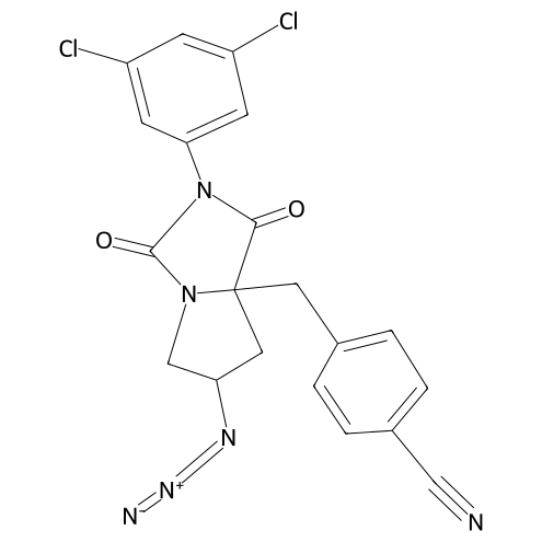 N#Cc1ccc(CC23CC(N=[N+]=[N-])CN2C(=O)N(c2cc(Cl)cc(Cl)c2)C3=O)cc1